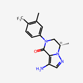 Cc1cc(N2C[C@H](C)n3ncc(N)c3C2=O)ccc1C(F)(F)F